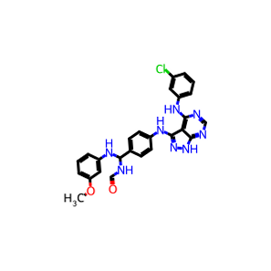 COc1cccc(NC(NC=O)c2ccc(Nc3n[nH]c4ncnc(Nc5cccc(Cl)c5)c34)cc2)c1